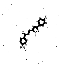 Nc1ccc(C(=O)/C=C/c2cc(-c3ccc(F)cc3)n[nH]2)cc1